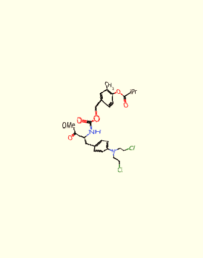 COC(=O)[C@H](Cc1ccc(N(CCCl)CCCl)cc1)NC(=O)OCc1ccc(OC(=O)C(C)C)c(C)c1